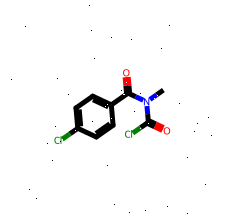 CN(C(=O)Cl)C(=O)c1ccc(Cl)cc1